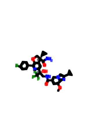 COc1cc(C(=O)NC[C@](O)(c2cc3c(c(-c4ccc(F)cc4)n2)OC[C@]3(C(N)=O)C2CC2)C(F)(F)F)cn2cc(C3CC3)nc12